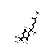 COC(=O)CCCC(C)(C)C1=CC(=O)C(C(C)(C)C)=CC1=O